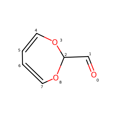 O=CC1OC=CC=CO1